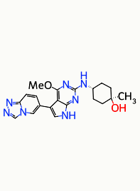 COc1nc(N[C@H]2CC[C@](C)(O)CC2)nc2[nH]cc(-c3ccc4nncn4c3)c12